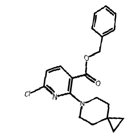 O=C(OCc1ccccc1)c1ccc(Cl)nc1N1CCC2(CC1)CC2